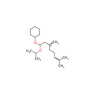 CC(C)=CCC[C@H](C)CC(OC(C)C)OC1CCCCC1